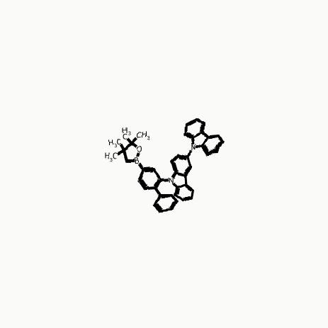 CC1(C)CB(c2ccc(-c3ccccc3)c(-n3c4ccccc4c4cc(-n5c6ccccc6c6ccccc65)ccc43)c2)OC1(C)C